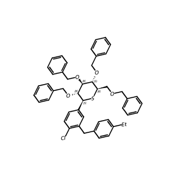 CCc1ccc(Cc2cc([C@@H]3S[C@H](COCc4ccccc4)[C@@H](OCc4ccccc4)[C@H](OCc4ccccc4)[C@H]3OCc3ccccc3)ccc2Cl)cc1